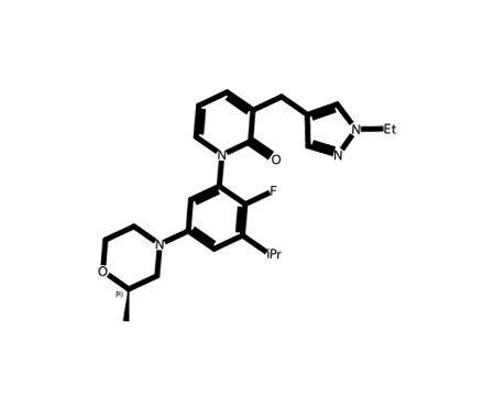 CCn1cc(Cc2cccn(-c3cc(N4CCO[C@H](C)C4)cc(C(C)C)c3F)c2=O)cn1